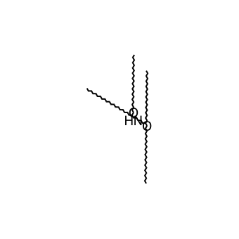 CCCCCCCCCCCCCCCCCCCCCCOC(CCCCCCCCCCCCCCCCCCCC)CCNCCC(CCCCCCCCCCCCCCCCCCCC)OCCCCCCCCCCCCCCCCCCCCCC